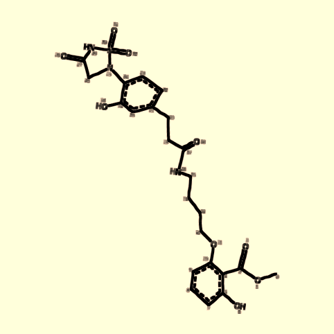 COC(=O)c1c(O)cccc1OCCCCNC(=O)CCc1ccc(N2CC(=O)NS2(=O)=O)c(O)c1